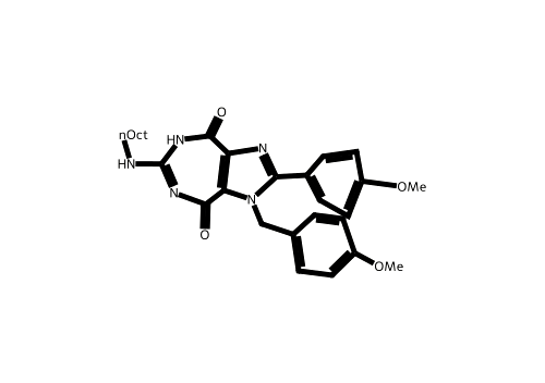 CCCCCCCCNc1nc(=O)c2c(nc(-c3ccc(OC)cc3)n2Cc2ccc(OC)cc2)c(=O)[nH]1